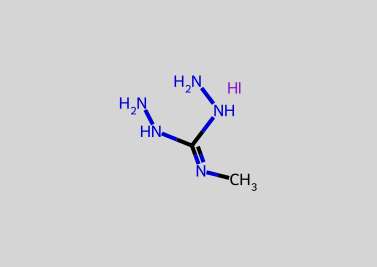 CN=C(NN)NN.I